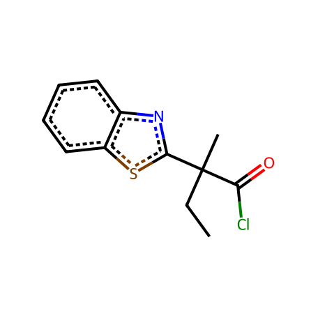 CCC(C)(C(=O)Cl)c1nc2ccccc2s1